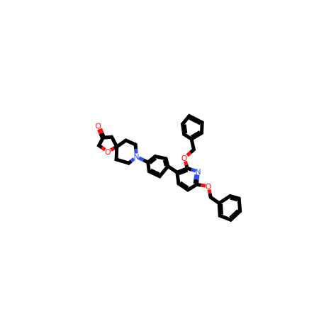 O=C1COC2(CCN(c3ccc(-c4ccc(OCc5ccccc5)nc4OCc4ccccc4)cc3)CC2)C1